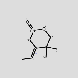 C/C=C1\CS(=O)OCC1(C)C